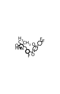 Cc1c(Cc2ccc(F)c(C(=O)N3CCN(C4CCC(F)(F)CC4)C(=O)C3)c2)n[nH]c(=O)c1C